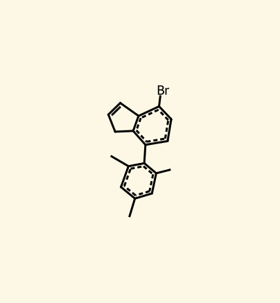 Cc1cc(C)c(-c2ccc(Br)c3c2CC=C3)c(C)c1